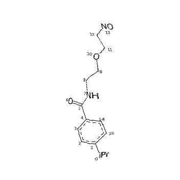 CC(C)c1ccc(C(=O)NCCOCCN=O)cc1